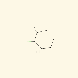 O=C(O)C1CCCCC1Cl.[InH3]